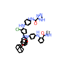 CCNC(=O)c1ccccc1Nc1ccc(Nc2ccc(C34CC5CC(C3)C(C3C6CC7CC3CC(c3ccc(Nc8ccc(NC(=O)c9nnc[nH]9)cc8)c(Cl)c3)(C7)C6)C(C5)C4)cc2)cc1